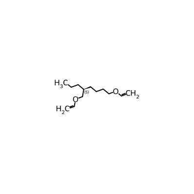 C=COCCCC[C@H](CCC)COC=C